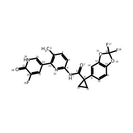 Cc1ccc(NC(=O)C2(c3ccc4c(c3)OC(F)(F)O4)CC2)nc1-c1c[nH]c(=O)c(F)c1